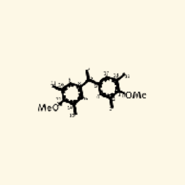 COc1c(C)cc(C(C)c2cc(C)c(OC)c(C)c2)cc1C